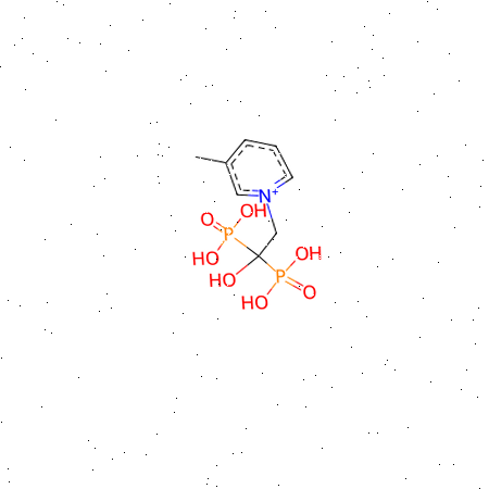 Cc1ccc[n+](CC(O)(P(=O)(O)O)P(=O)(O)O)c1